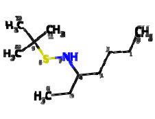 CCCCC(CC)NSC(C)(C)C